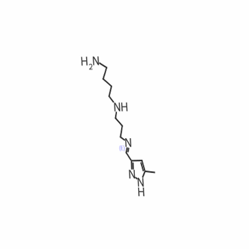 Cc1cc(/C=N/CCCNCCCCN)n[nH]1